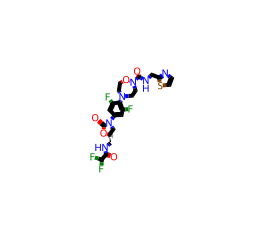 O=C(NC[C@H]1CN(c2cc(F)c(N3CCON(C(=O)NCc4nccs4)CC3)c(F)c2)C(=O)O1)C(F)F